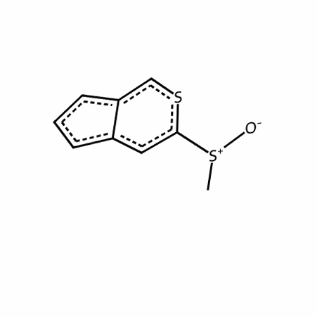 C[S+]([O-])c1cc2cccc-2cs1